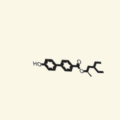 CCC(CC)C[C@@H](C)OC(=O)c1ccc(-c2ccc(O)cc2)cc1